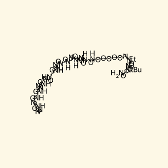 CCN(CCN(C)CCOCCOCCOCCOCCOCCNC(=O)CCNC(=O)c1nc(NC(=O)c2cc(NC(=O)CCNC(=O)c3nc(NC(=O)CCCNC(=O)c4cc(NC(=O)c5nc(NC(=O)CCNC(=O)c6cc(NC(=O)c7nccn7C)cn6C)cn5C)cn4C)cn3C)cn2C)cn1C)C(=O)CN(Cc1cc(C(N)=O)ccn1)C(=O)OC(C)(C)C